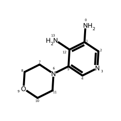 Nc1cncc(N2CCOCC2)c1N